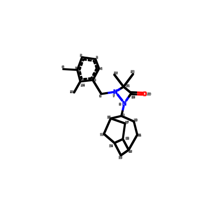 Cc1cccc(CN2N(C3CCC4CC5CC3CC45)C(=O)C2(C)C)c1C